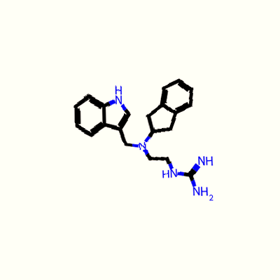 N=C(N)NCCN(Cc1c[nH]c2ccccc12)C1Cc2ccccc2C1